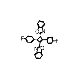 Fc1ccc(C2=C(c3nc4ccccc4o3)[C@@H](c3ccc(F)cc3)[C@@H]2c2nc3ccccc3o2)cc1